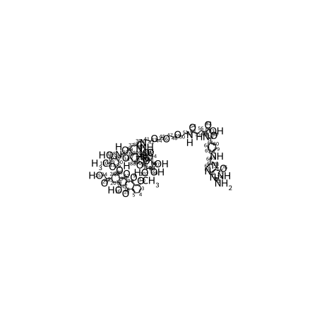 COc1cccc2c1C(=O)c1c(O)c3c(c(O)c1C2=O)CC(C(=O)CO)C[C@@H]3OC1CC(NC(=O)O[C@@H](CC2=CN(CCOCCOCCOCCNC(=O)CC[C@H](NC(=O)c3ccc(NCc4cnc5nc(N)[nH]c(=O)c5n4)cc3)C(=O)O)NN2)c2ccc(O[C@@H]3OC(CO)[C@H](O)[C@H](O)C3O)c([N+](=O)[O-])c2)C(O)C(C)O1